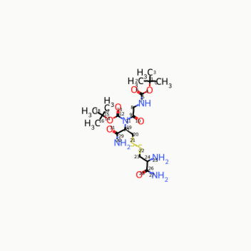 CC(C)(C)OC(=O)NCC(=O)N(C(=O)OC(C)(C)C)[C@@H](CSSCC(N)C(N)=O)C(N)=O